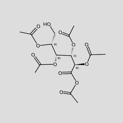 CC(=O)OC(=O)[C@H](OC(C)=O)[C@@H](OC(C)=O)[C@H](OC(C)=O)[C@@H](CO)OC(C)=O